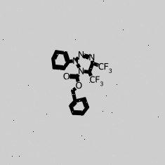 O=C(OCc1ccccc1)N1C(C(F)(F)F)C(C(F)(F)F)N=NN1c1ccccc1